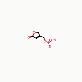 O=C1C=C(CO[PH](=O)O)CO1